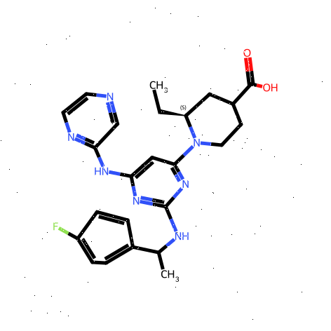 CC[C@H]1CC(C(=O)O)CCN1c1cc(Nc2cnccn2)nc(NC(C)c2ccc(F)cc2)n1